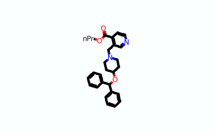 CCCOC(=O)c1ccncc1CN1CCC(OC(c2ccccc2)c2ccccc2)CC1